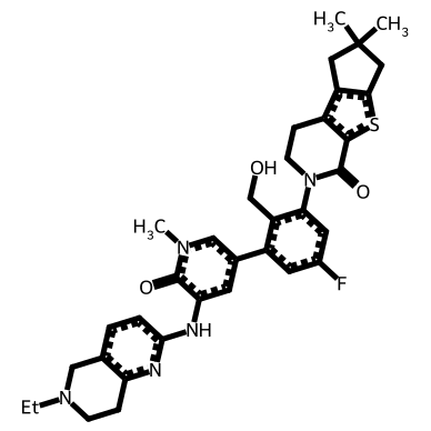 CCN1CCc2nc(Nc3cc(-c4cc(F)cc(N5CCc6c(sc7c6CC(C)(C)C7)C5=O)c4CO)cn(C)c3=O)ccc2C1